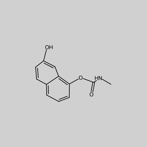 CNC(=O)Oc1cccc2ccc(O)cc12